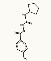 Cc1ccc(C(=O)NNC(=S)NC2CCCC2)cc1